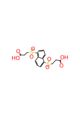 O=C(O)CCS(=O)(=O)c1cccc2c(S(=O)(=O)CCC(=O)O)cccc12